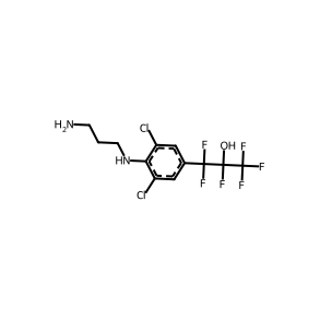 NCCCNc1c(Cl)cc(C(F)(F)C(O)(F)C(F)(F)F)cc1Cl